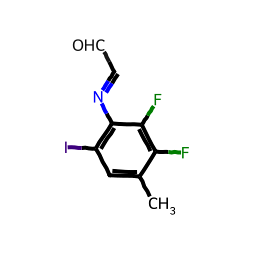 Cc1cc(I)c(N=CC=O)c(F)c1F